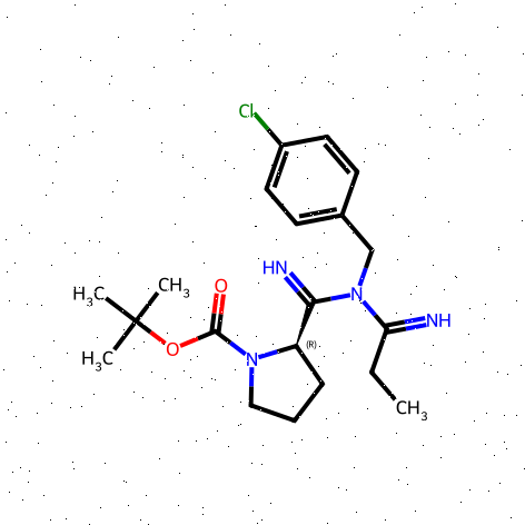 CCC(=N)N(Cc1ccc(Cl)cc1)C(=N)[C@H]1CCCN1C(=O)OC(C)(C)C